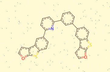 c1cc(-c2ccc3sc4occc4c3c2)cc(-c2cccc(-c3ccc4sc5occc5c4c3)n2)c1